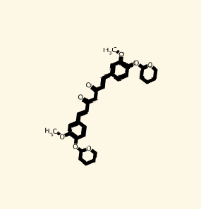 COc1cc(/C=C/C(=O)CC(=O)/C=C/c2ccc(OC3CCCCO3)c(OC)c2)ccc1OC1CCCCO1